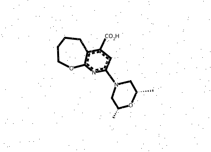 C[C@@H]1CN(c2cc(C(=O)O)c3c(n2)OCCCC3)C[C@H](C)O1